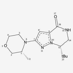 C[C@@H]1COCCN1c1cc2n(n1)[C@@H](C(C)(C)C)CNC2=O